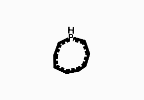 c1cccc[pH]ccc1